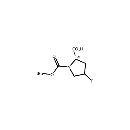 CC(C)(C)OC(=O)N1CC(F)C[C@H]1C(=O)O